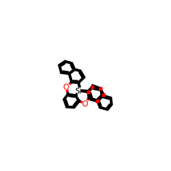 c1ccc([Si]23c4ccc5ccccc5c4Oc4cccc(c42)Oc2c3ccc3ccccc23)cc1